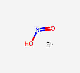 O=NO.[Fr]